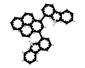 c1cc2ccc3c(-c4cccc5c4oc4ccccc45)cc(-c4cccc5c4oc4ccccc45)c4ccc(c1)c2c34